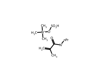 C=C(C)C(=O)[N-]CCC.C[N+](C)(C)OS(=O)(=O)O